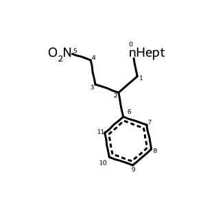 CCCCCCCCC(CC[N+](=O)[O-])c1ccccc1